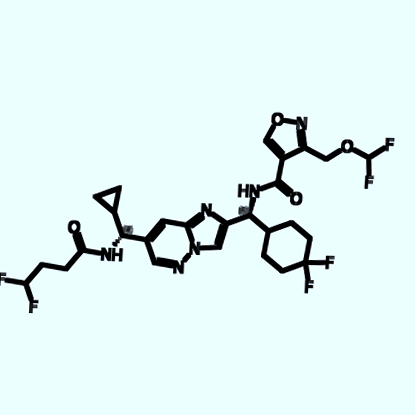 O=C(CCC(F)F)N[C@@H](c1cnn2cc([C@@H](NC(=O)c3conc3COC(F)F)C3CCC(F)(F)CC3)nc2c1)C1CC1